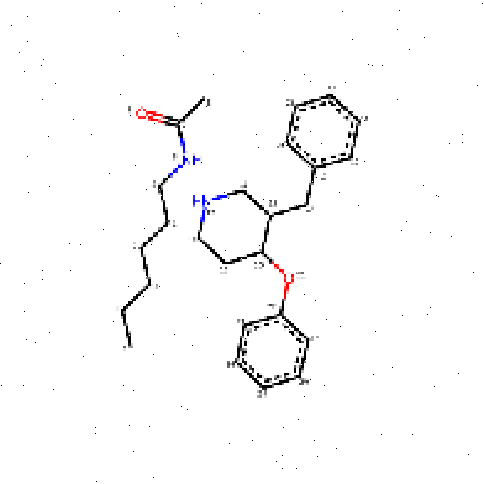 CCCCCCNC(C)=O.c1ccc(CC2CNCCC2Oc2ccccc2)cc1